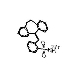 CCCNS(=O)(=O)c1ccccc1C=C1c2ccccc2CCc2ccccc21